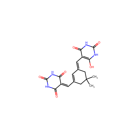 CC1(C)CC(C=C2C(=O)NC(=O)NC2=O)=C/C(=C/c2c(O)[nH]c(=O)[nH]c2=O)C1